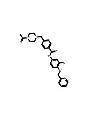 CC(=O)N1CCN(Cc2ccc(C(=O)Nc3ccc(OCc4ccccn4)c(Cl)c3)cc2)CC1